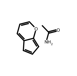 CC(N)=O.c1coc2cccc-2c1